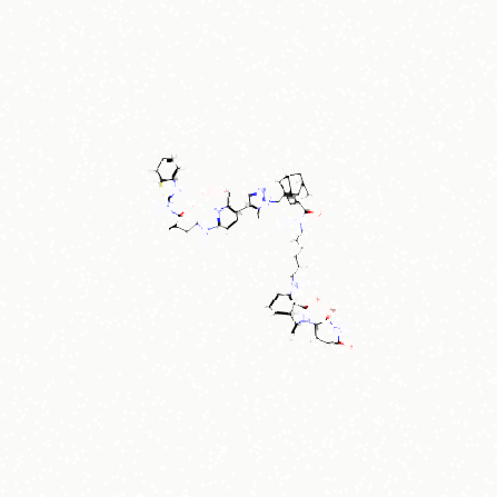 C=C(CCNc1ccc(-c2cnn(CC34CC5CC(C3)CC(C(=O)NCCCCCCNc3cccc6c3C(=O)N(C3CCC(=O)NC3=O)C6=C)(C5)C4)c2C)c(CO)n1)C(=O)Nc1nc2ccccc2s1